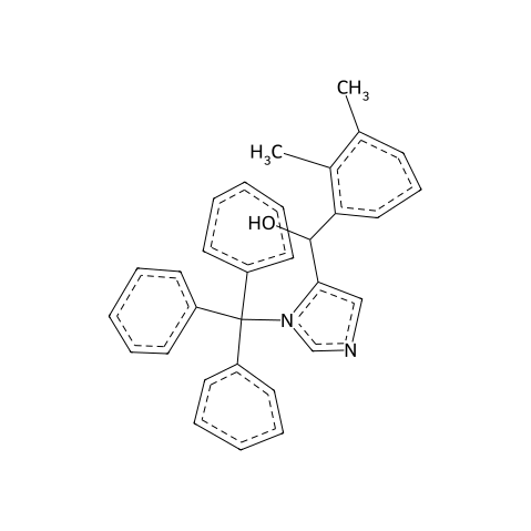 Cc1cccc(C(O)c2cncn2C(c2ccccc2)(c2ccccc2)c2ccccc2)c1C